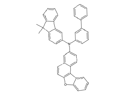 CC1(C)c2ccccc2-c2cc(N(c3cccc(-c4ccccc4)c3)c3ccc4c(ccc5oc6ccccc6c54)c3)ccc21